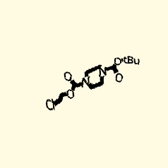 CC(C)(C)OC(=O)N1CCN(C(=O)OCCCl)CC1